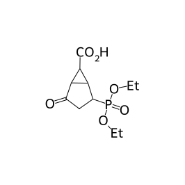 CCOP(=O)(OCC)C1CC(=O)C2C(C(=O)O)C21